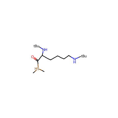 C[SH](C)C(=O)C(CCCCNC(C)(C)C)NC(C)(C)C